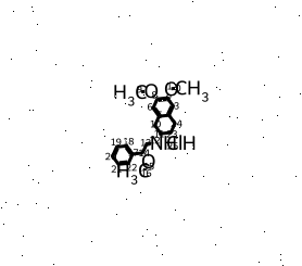 COc1cc2c(cc1OC)CC(NCC(OC)c1ccccc1)CC2.Cl